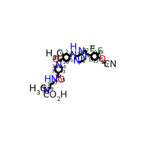 Cc1cc(Nc2nccn3c(-c4ccc(OCC#N)c(F)c4F)cnc23)ccc1C(=O)N1CCC(C(=O)NCCCN(C)C(=O)O)CC1